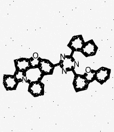 c1ccc2c(-c3nc(-c4cc5oc6ccc7c8ccccc8n8c9ccccc9c(c4)c5c6c78)nc(-c4cccc5c4oc4ccccc45)n3)cccc2c1